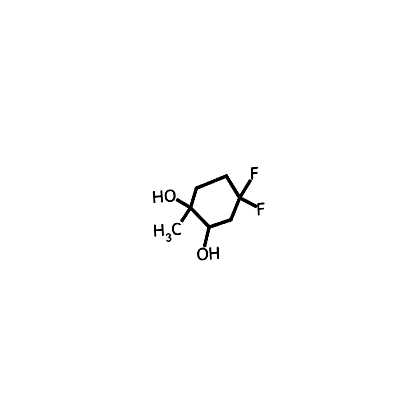 CC1(O)CCC(F)(F)CC1O